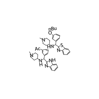 CC(=O)c1cccc(C(NC2CCN(C)CC2)c2nc3ccccc3[nH]2)c1.CCCCOc1cccc(C(NC2CCN(C)CC2)c2nc3ccccc3s2)c1